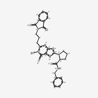 CCn1c(CCCN2C(=O)c3ccccc3C2=O)nc2sc(N3CCCC3C(=O)NCc3ccccc3)nc2c1=O